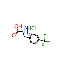 Cl.N[C@H](Cc1ccc(C(F)(F)F)cc1)C(=O)O